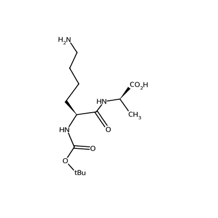 C[C@@H](NC(=O)[C@H](CCCCN)NC(=O)OC(C)(C)C)C(=O)O